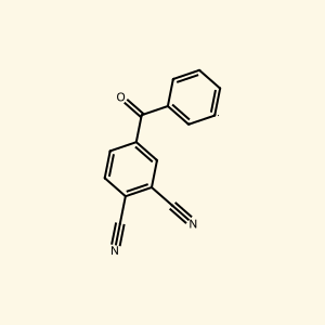 N#Cc1ccc(C(=O)c2c[c]ccc2)cc1C#N